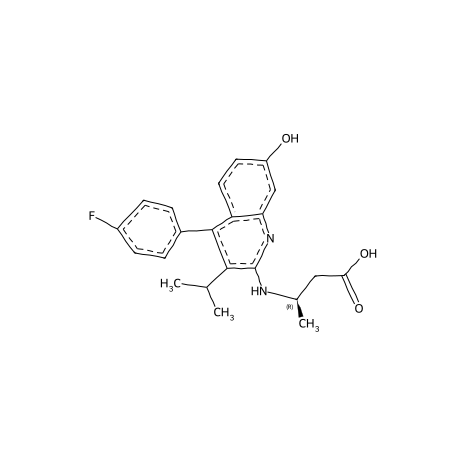 CC(C)c1c(N[C@H](C)CC(=O)O)nc2cc(O)ccc2c1-c1ccc(F)cc1